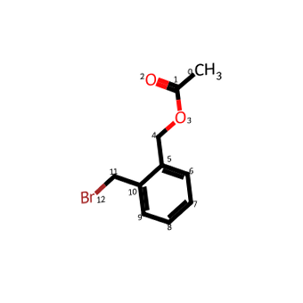 CC(=O)OCc1ccccc1CBr